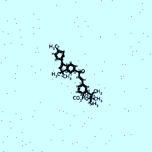 Cc1ccc(C2=CC(C)(C)c3cc(C(=O)C=Cc4ccc(C(=O)O)c(C(C)C(C)(C)[SiH3])c4)ccc32)cc1